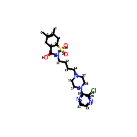 CC1=C(C)CC2C(C1)C(=O)N(CCCCN1CCN(c3nccnc3Cl)CC1)S2(=O)=O